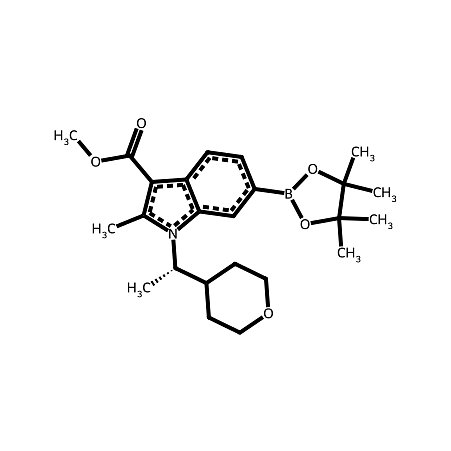 COC(=O)c1c(C)n([C@@H](C)C2CCOCC2)c2cc(B3OC(C)(C)C(C)(C)O3)ccc12